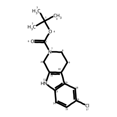 CC(C)(C)OC(=O)N1CCc2c([nH]c3ccc(Cl)cc23)C1